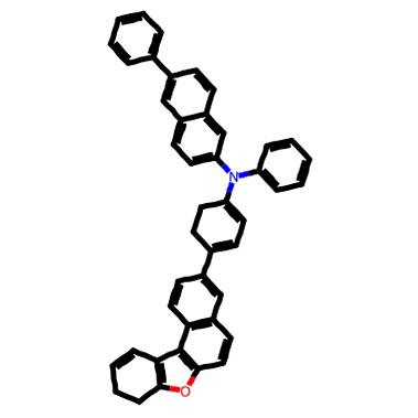 C1=Cc2c(oc3ccc4cc(C5=CC=C(N(c6ccccc6)c6ccc7cc(-c8ccccc8)ccc7c6)CC5)ccc4c23)CC1